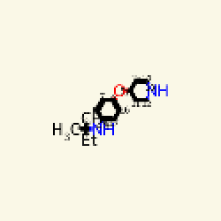 CCC(C)(C)Nc1ccc(OC2CCNCC2)cc1